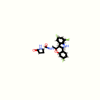 O=C1CC[C@@H](C(=O)NCC2Oc3cc(F)ccc3-c3[nH]c4c(F)cc(F)cc4c32)N1